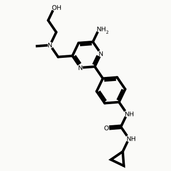 CN(CCO)Cc1cc(N)nc(-c2ccc(NC(=O)NC3CC3)cc2)n1